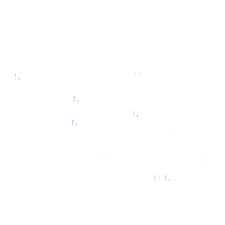 CCC(SC(N)=O)C(C)C(=O)N(CC)c1cn(-c2cccnc2)nc1Cl